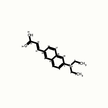 CCN(CC)c1ccc2cc(/C=C/C(=O)O)ccc2c1